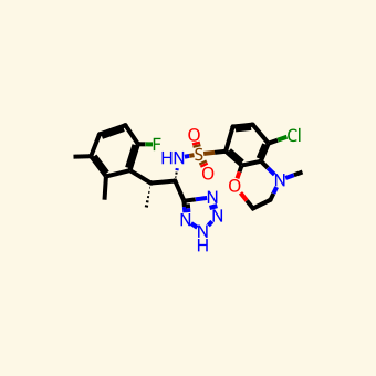 Cc1ccc(F)c([C@@H](C)[C@H](NS(=O)(=O)c2ccc(Cl)c3c2OCCN3C)c2nn[nH]n2)c1C